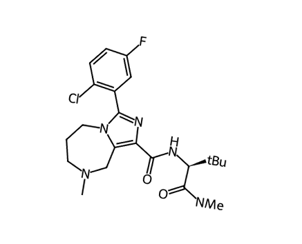 CNC(=O)[C@@H](NC(=O)c1nc(-c2cc(F)ccc2Cl)n2c1CN(C)CCC2)C(C)(C)C